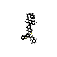 c1ccc2cc3c(cc2c1)sc1c(-c2ccc4cc(-c5c6ccccc6c(-c6cccc7ccccc67)c6ccccc56)ccc4c2)cc2c4ccccc4sc2c13